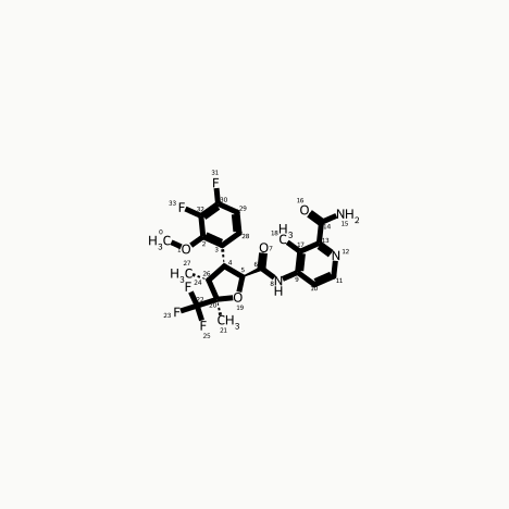 COc1c([C@@H]2[C@@H](C(=O)Nc3ccnc(C(N)=O)c3C)O[C@@](C)(C(F)(F)F)[C@@H]2C)ccc(F)c1F